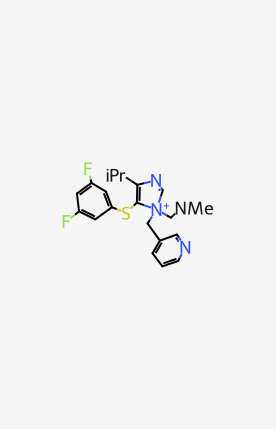 CNC[N+]1(Cc2cccnc2)C=NC(C(C)C)=C1Sc1cc(F)cc(F)c1